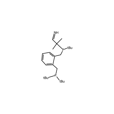 CC(C)(C)P(Cc1ccccc1CP(C(C)(C)C)C(C)(C)C=N)C(C)(C)C